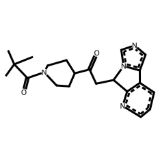 CC(C)(C)C(=O)N1CCC(C(=O)CC2c3ncccc3-c3cncn32)CC1